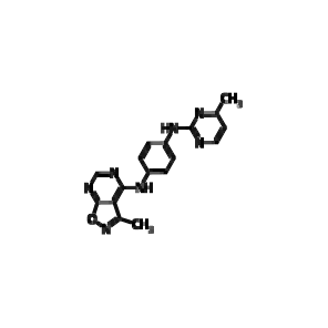 Cc1ccnc(Nc2ccc(Nc3ncnc4onc(C)c34)cc2)n1